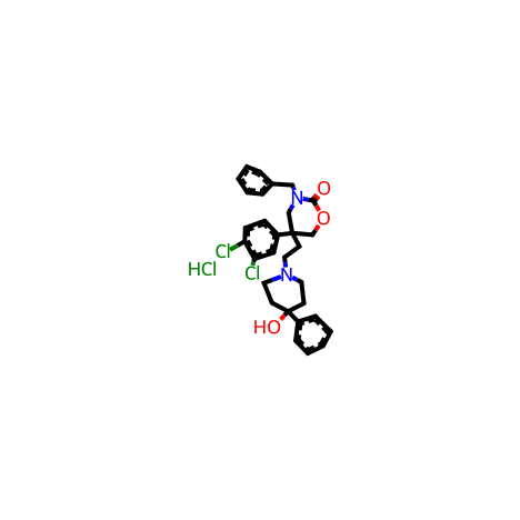 Cl.O=C1OCC(CCN2CCC(O)(c3ccccc3)CC2)(c2ccc(Cl)c(Cl)c2)CN1Cc1ccccc1